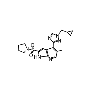 Cc1cnc2[nH]c(S(=O)(=O)N3CCCC3)cc2c1-c1ncn(CC2CC2)n1